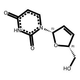 O=c1ccn([C@@H]2C=C[C@H](CO)O2)c(=O)[nH]1